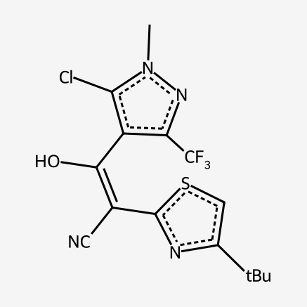 Cn1nc(C(F)(F)F)c(/C(O)=C(/C#N)c2nc(C(C)(C)C)cs2)c1Cl